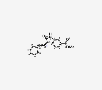 COC(=O)c1ccc2c(c1)NC(=O)/C2=C\Nc1ccccc1